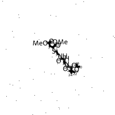 COC(=O)CC(SCCNC(=O)CCNC(=O)[C@@H]1OC(C)(C)OCC1(C)C)C(=O)OC